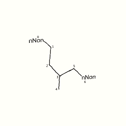 [CH2]CCCCCCCCCCC(C)CCCCCCCCC[CH2]